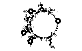 NCCCC[C@@H]1NC(=O)CCSCc2cccc(c2)CSC[C@@H](C(N)=O)NC(=O)[C@@H]2C[C@H](C(F)(F)F)CN2C(=O)[C@H](Cc2ccc(O)cc2)NC(=O)[C@H](Cc2cnc[nH]2)NC(=O)[C@H](CC(=O)O)NC(=O)[C@H](Cc2c[nH]c3ccc(F)cc23)NC(=O)[C@H](Cc2c[nH]c3ccc(F)cc23)NC(=O)CNC1=O